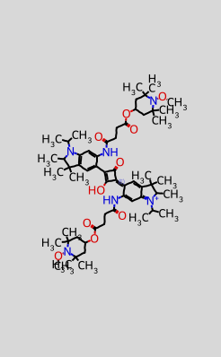 CON1C(C)(C)CC(OC(=O)CCC(=O)Nc2cc3c(cc2C2=C(O)/C(=c4/cc5c(cc4NC(=O)CCC(=O)OC4CC(C)(C)N(OC)C(C)(C)C4)=[N+](C(C)C)C(C)C5(C)C)C2=O)C(C)(C)C(C)N3C(C)C)CC1(C)C